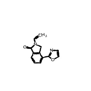 C=CN1Cc2c(cccc2-c2ncco2)C1=O